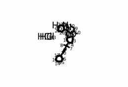 COc1ccc(C(C)(C)C#Cc2ccccc2)cc1CC1(c2ccccc2)CCCCN1N.Cl.Cl